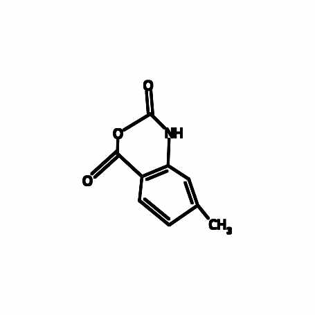 Cc1ccc2c(=O)oc(=O)[nH]c2c1